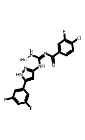 CC[C@@H](C)N/C(=N/C(=O)c1ccc(Cl)c(F)c1)Nc1cc(-c2cc(F)cc(F)c2)[nH]n1